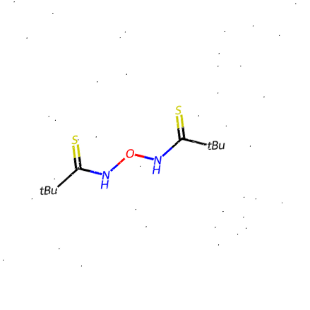 CC(C)(C)C(=S)NONC(=S)C(C)(C)C